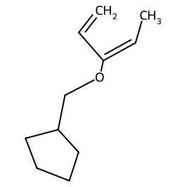 C=C/C(=C\C)OCC1CCCC1